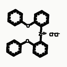 [Cl-].[Cl-].c1ccc(Oc2cccc[c]2[Zr+2][c]2ccccc2Oc2ccccc2)cc1